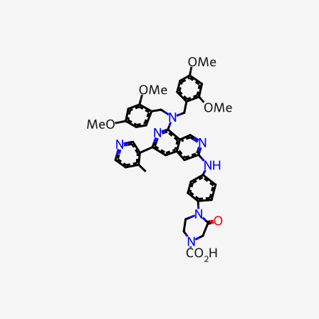 COc1ccc(CN(Cc2ccc(OC)cc2OC)c2nc(-c3cnccc3C)cc3cc(Nc4ccc(N5CCN(C(=O)O)CC5=O)cc4)ncc23)c(OC)c1